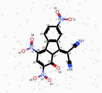 N#CC(C#N)=C1c2cc([N+](=O)[O-])ccc2C2=C([N+](=O)[O-])C=C([N+](=O)[O-])C(=O)C12